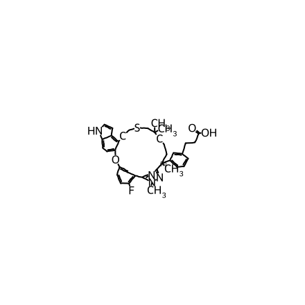 Cn1nc2nc1-c1cc(ccc1F)Oc1ccc3[nH]ccc3c1CCSCC(C)(C)CCC[C@]2(C)c1cccc(CCC(=O)O)c1